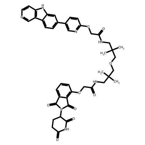 CC(C)(CNC(=O)COc1ccc(-c2ccc3c(c2)[nH]c2ccncc23)cn1)COCC(C)(C)CNC(=O)COc1cccc2c1C(=O)N(C1CCC(=O)NC1=O)C2=O